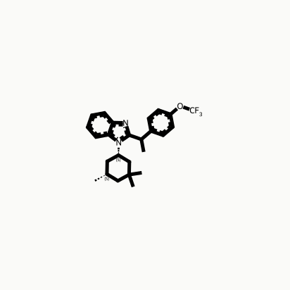 CC(c1ccc(OC(F)(F)F)cc1)c1nc2ccccc2n1[C@H]1C[C@@H](C)CC(C)(C)C1